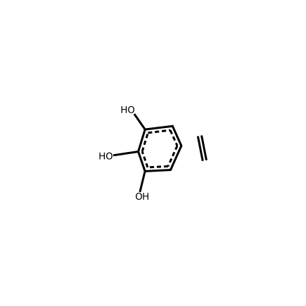 C=C.Oc1cccc(O)c1O